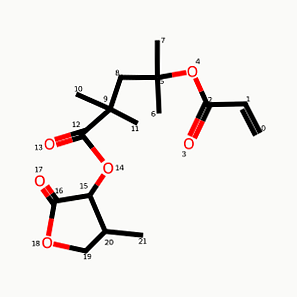 C=CC(=O)OC(C)(C)CC(C)(C)C(=O)OC1C(=O)OCC1C